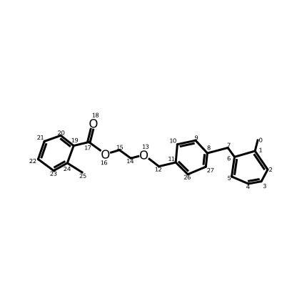 Cc1ccccc1Cc1ccc(COCCOC(=O)c2ccccc2C)cc1